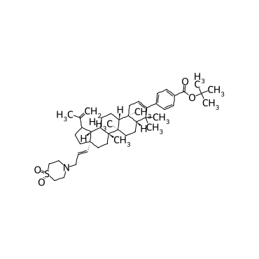 C=C(C)C1CC[C@]2(/C=C/CN3CCS(=O)(=O)CC3)CC[C@]3(C)[C@H](CC[C@@H]4[C@@]5(C)CC=C(c6ccc(C(=O)OC(C)(C)C)cc6)C(C)(C)[C@@H]5CC[C@]43C)[C@@H]12